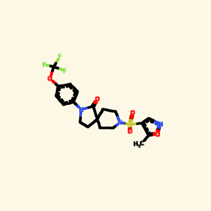 Cc1oncc1S(=O)(=O)N1CCC2(CCN(c3ccc(OC(F)(F)F)cc3)C2=O)CC1